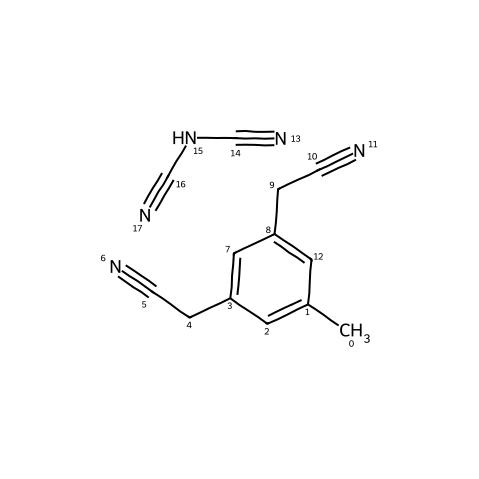 Cc1cc(CC#N)cc(CC#N)c1.N#CNC#N